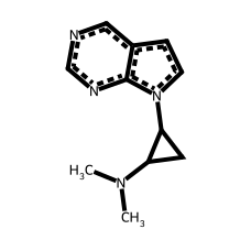 CN(C)C1CC1n1ccc2cncnc21